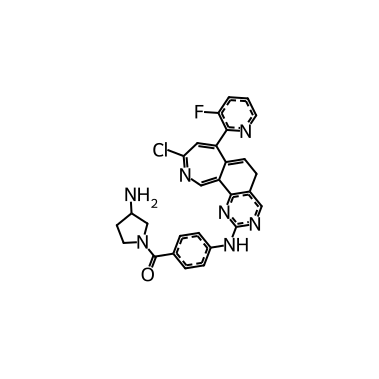 NC1CCN(C(=O)c2ccc(Nc3ncc4c(n3)C3=CN=C(Cl)C=C(c5ncccc5F)C3=CC4)cc2)C1